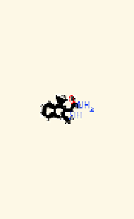 Cc1ccccc1C1(c2cc[nH]c2C(N)=O)CC1